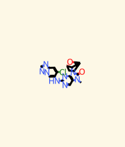 Cn1c(=O)n(C2C3CCC4C(O3)C42)c2nc(Nc3cn4ncnc4cc3Cl)ncc21